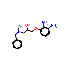 CC(C)N(Cc1ccccc1)CC(O)COc1cccc(N)c1N